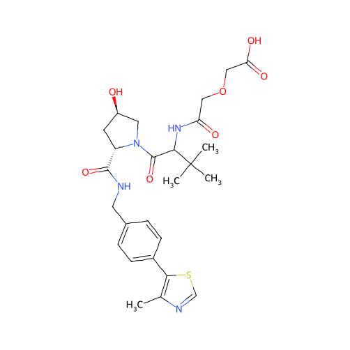 Cc1ncsc1-c1ccc(CNC(=O)[C@@H]2C[C@@H](O)CN2C(=O)C(NC(=O)COCC(=O)O)C(C)(C)C)cc1